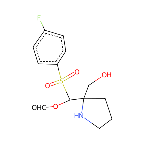 O=COC(C1(CO)CCCN1)S(=O)(=O)c1ccc(F)cc1